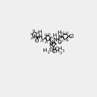 CC(C)(C)c1cc(NC(=O)Nc2ccc(Cl)cc2)n(-c2cccc(CNC(=O)N3CCCC3)c2)n1